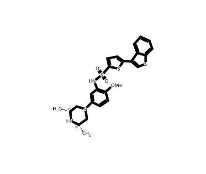 COc1ccc(N2C[C@@H](C)N[C@@H](C)C2)cc1NS(=O)(=O)c1ccc(-c2csc3ccccc23)s1